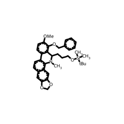 COc1ccc2c(c1OCc1ccccc1)C(CCCO[Si](C)(C)C(C)(C)C)N(C)c1c-2ccc2cc3c(cc12)OCO3